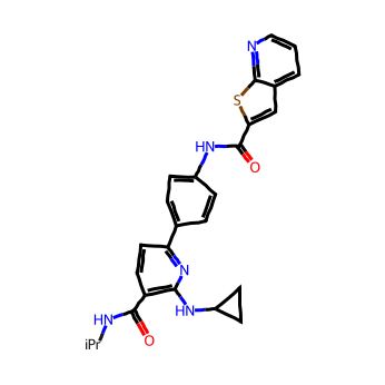 CC(C)NC(=O)c1ccc(-c2ccc(NC(=O)c3cc4cccnc4s3)cc2)nc1NC1CC1